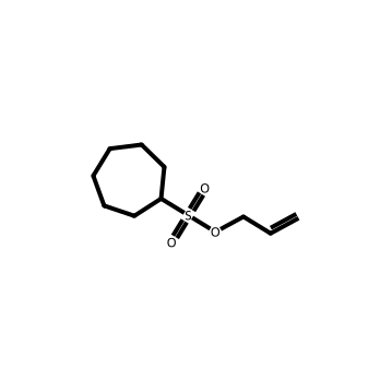 C=CCOS(=O)(=O)C1CCCCCC1